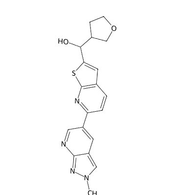 Cn1cc2cc(-c3ccc4cc(C(O)C5CCOC5)sc4n3)cnc2n1